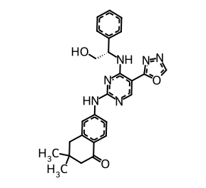 CC1(C)CC(=O)c2ccc(Nc3ncc(-c4nnco4)c(N[C@H](CO)c4ccccc4)n3)cc2C1